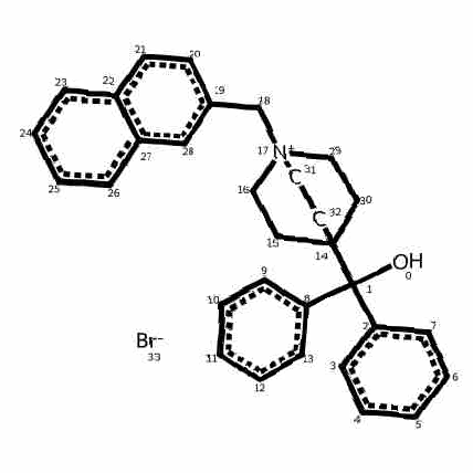 OC(c1ccccc1)(c1ccccc1)C12CC[N+](Cc3ccc4ccccc4c3)(CC1)CC2.[Br-]